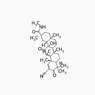 CNC(=O)[C@@]1(C)CC[C@]2(C)CC[C@@]3(C)[C@]4(C)CC[C@H]5C(C)(C)C(=O)C(C#N)=C[C@]5(C)C4=CC(=O)[C@]3(O)[C@@H]2C1